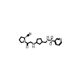 N#C[C@@H]1CCCN1C(=O)CNC1CCC(CNS(=O)(=O)c2cccnc2)C1